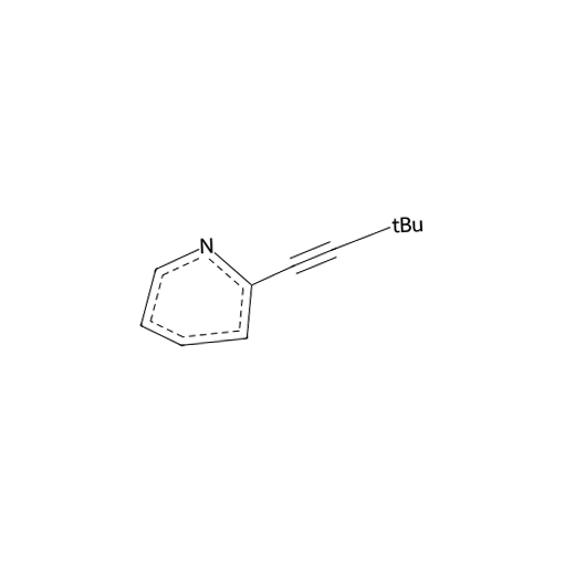 CC(C)(C)C#Cc1ccccn1